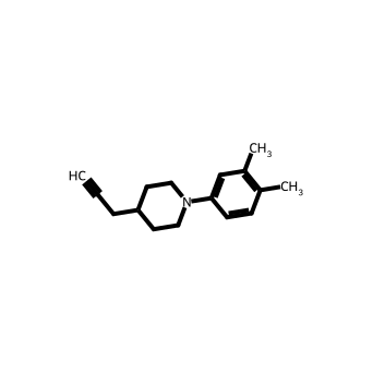 C#CCC1CCN(c2ccc(C)c(C)c2)CC1